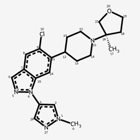 Cn1cc(-n2ncc3cc(Cl)c(C4CCN([C@]5(C)CCOC5)CC4)cc32)cn1